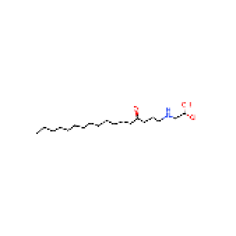 CCCCCCCCCCCCCC(=O)CCCNCC(O)O